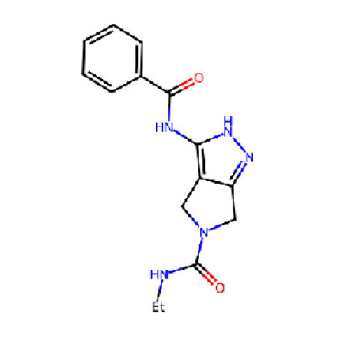 CCNC(=O)N1Cc2n[nH]c(NC(=O)c3ccccc3)c2C1